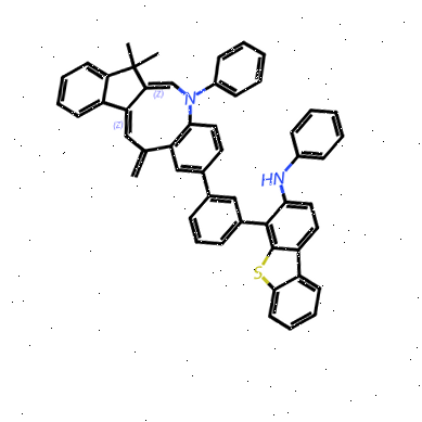 C=C1/C=C2\C(=C/N(c3ccccc3)c3ccc(-c4cccc(-c5c(Nc6ccccc6)ccc6c5sc5ccccc56)c4)cc31)C(C)(C)c1ccccc12